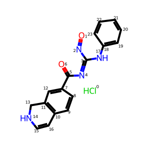 Cl.O=NC(=NC(=O)c1ccc2c(c1)CNC=C2)Nc1ccccc1